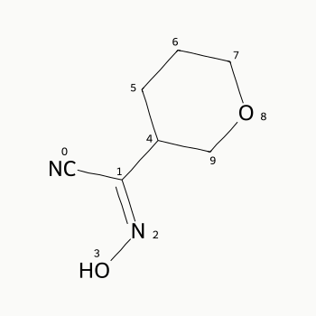 N#CC(=NO)C1CCCOC1